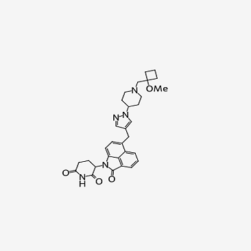 COC1(CN2CCC(n3cc(Cc4ccc5c6c(cccc46)C(=O)N5C4CCC(=O)NC4=O)cn3)CC2)CCC1